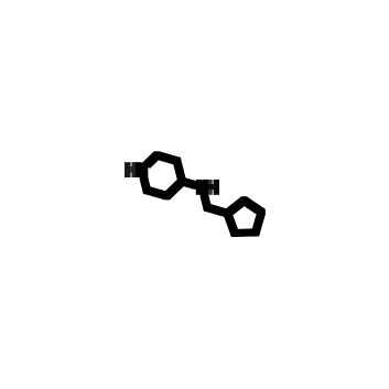 C1CCC(CNC2CCNCC2)C1